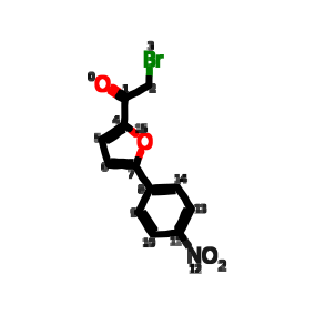 O=C(CBr)c1ccc(-c2ccc([N+](=O)[O-])cc2)o1